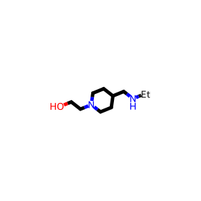 CCNCC1CCN(CCO)CC1